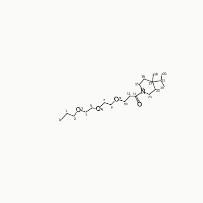 CCCOCCOCCOCCC(=O)N1CCC(C)(C(C)C)CC1